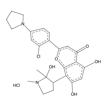 CN1CCC(c2c(O)cc(O)c3c(=O)cc(-c4ccc(N5CCCC5)cc4Cl)oc23)C1(C)O.Cl